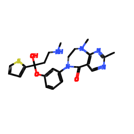 CNCCC(O)(Oc1cccc(N2CCN(C)c3nc(C)ncc3C2=O)c1)c1cccs1